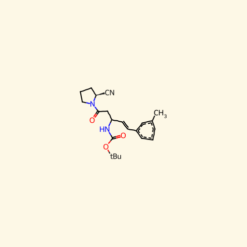 Cc1cccc(C=CC(CC(=O)N2CCC[C@H]2C#N)NC(=O)OC(C)(C)C)c1